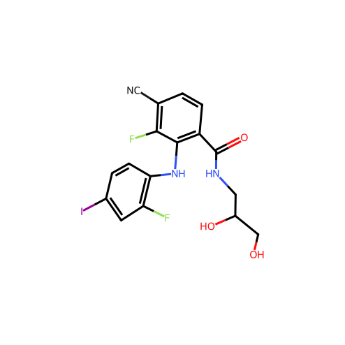 N#Cc1ccc(C(=O)NCC(O)CO)c(Nc2ccc(I)cc2F)c1F